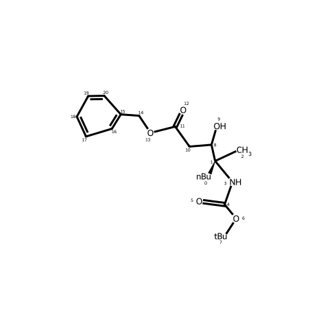 CCCC[C@@](C)(NC(=O)OC(C)(C)C)C(O)CC(=O)OCc1ccccc1